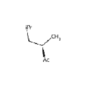 CC(=O)[C@H](C)CC(C)C